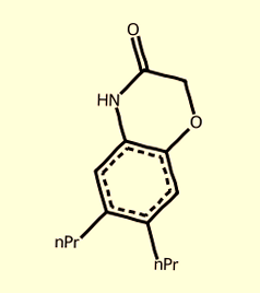 CCCc1cc2c(cc1CCC)OCC(=O)N2